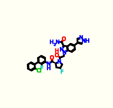 NC(=O)c1nn(CC(O)N2C[C@H](F)C[C@H]2C(=O)Nc2cccc(-c3ccccc3Cl)c2F)c2ccc(-c3cn[nH]c3)cc12